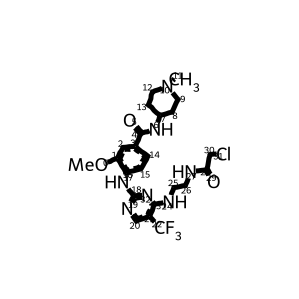 COc1cc(C(=O)NC2CCN(C)CC2)ccc1Nc1ncc(C(F)(F)F)c(NCCNC(=O)CCl)n1